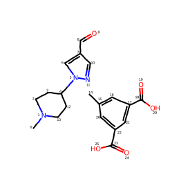 CN1CCC(n2cc(C=O)cn2)CC1.Cc1cc(C(=O)O)cc(C(=O)O)c1